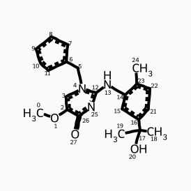 COc1cn(Cc2ccccc2)c(Nc2cc(C(C)(C)O)ccc2C)nc1=O